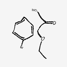 Brc1ccccc1.CCOCC(=O)O